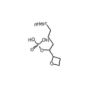 CCCCCCCCCCC(OP(=O)(O)O)C1CCO1